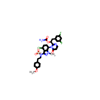 COc1ccc(CCN(c2nn(C)c3c(-n4c(C(Cc5cc(F)cc(F)c5)OC(N)=O)nccc4=O)ccc(Cl)c23)[SH](=O)=O)cc1